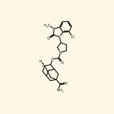 Cn1c(=O)n(C2CCN(C(=O)OC3C4CC5C[C@H]3CC(C(N)=O)(C5)C4)C2)c2c(Cl)cccc21